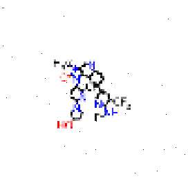 CCNc1ncc(-c2ccc3ncc4c(c3c2)n(-c2ccc(N3CCC(O)C3)nc2C)c(=O)n4C)cc1C(F)(F)F